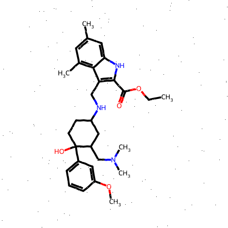 CCOC(=O)c1[nH]c2cc(C)cc(C)c2c1CNC1CCC(O)(c2cccc(OC)c2)C(CN(C)C)C1